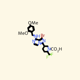 COc1ccc(CNc2nccn3c(C4CCC(C(F)F)N(C(=O)O)C4)nc(Br)c23)c(OC)c1